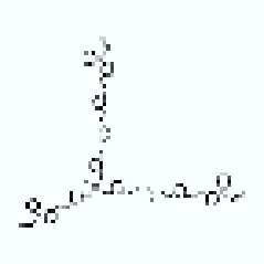 C=CC(=O)OCCOCCOCCOCC(CC)(COCCOCCOCCOC(=O)C=C)COCCOC(=O)C=C